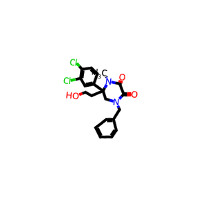 CN1C(=O)C(=O)N(Cc2ccccc2)CC1(CCO)c1ccc(Cl)c(Cl)c1